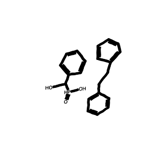 O=[PH](O)C(O)c1ccccc1.c1ccc(CCc2ccccc2)cc1